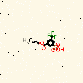 CCCCOC(=O)c1cc(C(F)(F)F)cc(S(=O)(=O)O)c1